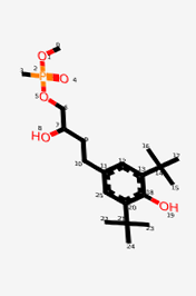 COP(C)(=O)OCC(O)CCc1cc(C(C)(C)C)c(O)c(C(C)(C)C)c1